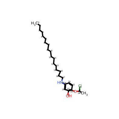 CCCCCCCCCCCCCCCCCCNc1ccc(OC(C)Cl)c(O)c1